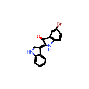 O=C1C(=C2CNc3ccccc32)Nc2ccc(Br)cc21